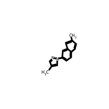 Cc1ccc2ccc(-n3cc(C)cn3)cc2c1